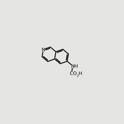 O=C(O)Nc1ccc2cnccc2c1